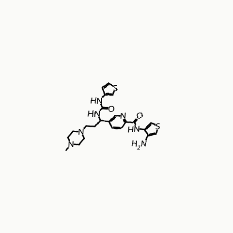 CN1CCN(CCC(NC(=O)Nc2ccsc2)c2ccc(C(=O)Nc3cscc3N)nc2)CC1